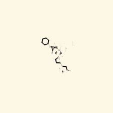 Cc1cc(-c2ccc(S(=O)(=O)N[C@@]3(C(=O)O)C(C)[C@@H]3c3ccccc3)o2)no1